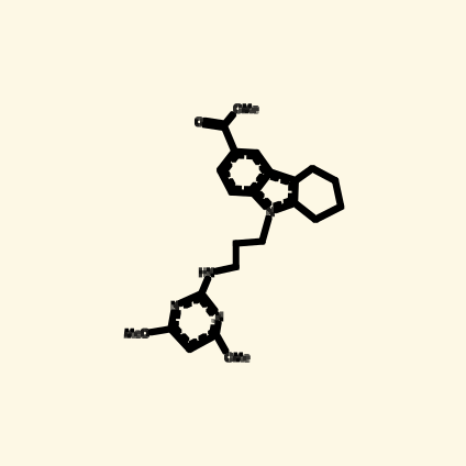 COC(=O)c1ccc2c(c1)c1c(n2CCCNc2nc(OC)cc(OC)n2)CCCC1